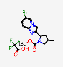 CC1CC(c2cn3cc(Br)ccc3n2)N(C(=O)OC(C)(C)C)C1.O=C(O)C(F)(F)F